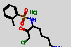 Cc1ccccc1S(=O)(=O)NC(CCCCN)C(=O)CCl.Cl